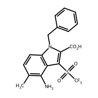 Cc1ccc2c(c1N)c(S(=O)(=O)C(F)(F)F)c(C(=O)O)n2Cc1ccccc1